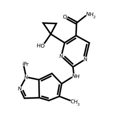 Cc1cc2cnn(C(C)C)c2cc1Nc1ncc(C(N)=O)c(C2(O)CC2)n1